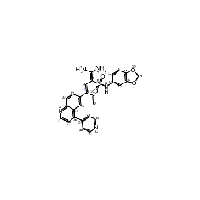 C=C/C(=C\C(=C(N)N)S(=O)(=O)Nc1ccc2c(c1)OCO2)c1ccc2nccc(-c3ccncc3)c2c1